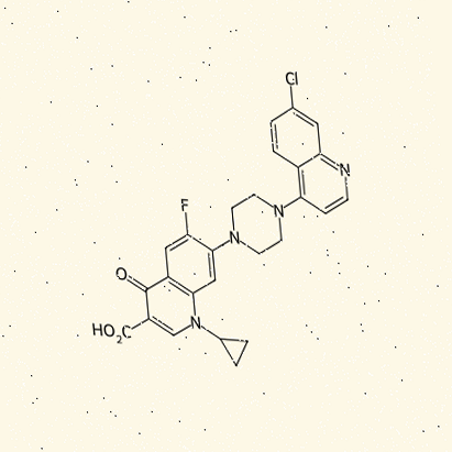 O=C(O)c1cn(C2CC2)c2cc(N3CCN(c4ccnc5cc(Cl)ccc45)CC3)c(F)cc2c1=O